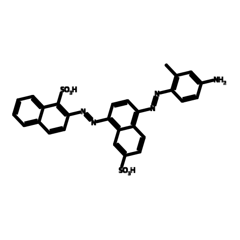 Cc1cc(N)ccc1N=Nc1ccc(N=Nc2ccc3ccccc3c2S(=O)(=O)O)c2cc(S(=O)(=O)O)ccc12